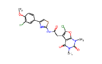 Cn1c(=O)c2c(CC(=O)Nc3nc(-c4ccc(OC(F)(F)F)c(Cl)c4)cs3)c(Cl)oc2n(C)c1=O